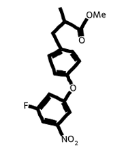 COC(=O)C(C)Cc1ccc(Oc2cc(F)cc([N+](=O)[O-])c2)cc1